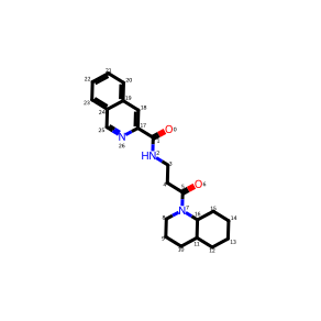 O=C(NCCC(=O)N1CCCC2CCCCC21)c1cc2ccccc2cn1